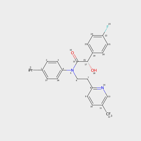 CC(C)c1ccc(N(CCc2ccc(C(F)(F)F)cn2)C(=O)[C@@H](O)c2ccc(F)cc2)cc1